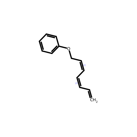 C=C/C=C\C=C/COc1ccccc1